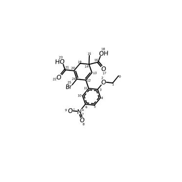 CCOc1ccc([N+](=O)[O-])cc1C1=CC(C)(C(=O)O)CC(C(=O)O)=C1Br